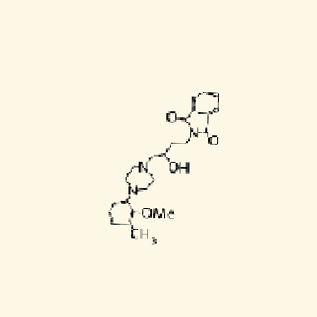 COc1c(C)cccc1N1CCN(CC(O)CCN2C(=O)c3ccccc3C2=O)CC1